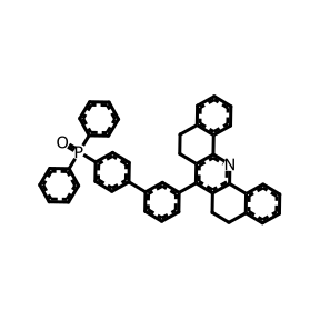 O=P(c1ccccc1)(c1ccccc1)c1ccc(-c2cccc(-c3c4c(nc5c3CCc3ccccc3-5)-c3ccccc3CC4)c2)cc1